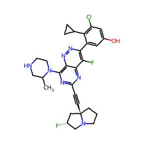 CC1CNCCN1c1nc(C#C[C@@]23CCCN2C[C@H](F)C3)nc2c(F)c(-c3cc(O)cc(Cl)c3C3CC3)nnc12